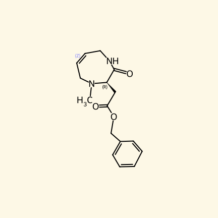 CN1C/C=C\CNC(=O)[C@H]1CC(=O)OCc1ccccc1